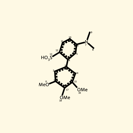 COc1cc(-c2cc(N(C)C)ccc2S(=O)(=O)O)cc(OC)c1OC